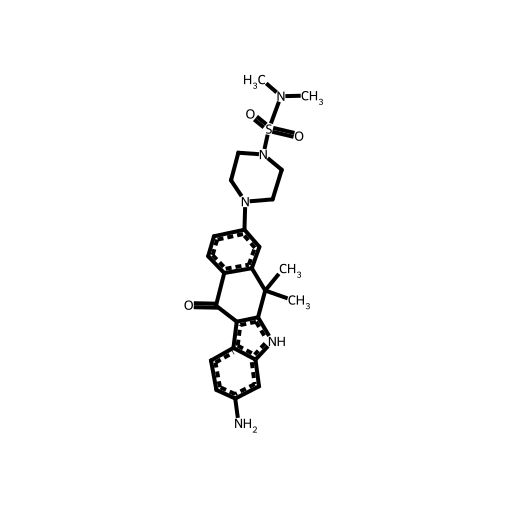 CN(C)S(=O)(=O)N1CCN(c2ccc3c(c2)C(C)(C)c2[nH]c4cc(N)ccc4c2C3=O)CC1